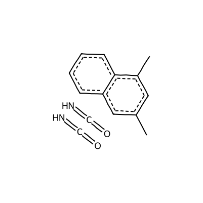 Cc1cc(C)c2ccccc2c1.N=C=O.N=C=O